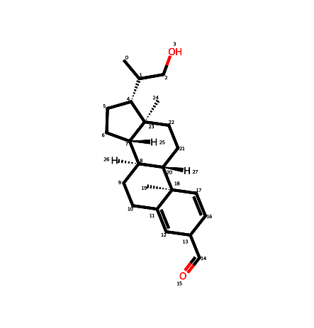 CC(CO)[C@H]1CC[C@H]2[C@@H]3CCC4=CC(C=O)C=C[C@]4(C)[C@H]3CC[C@]12C